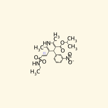 CCNS(=O)(=O)/C=C/C1=C(C)NC(C)=C(C(=O)OC(C)C)C1c1cccc([N+](=O)[O-])c1